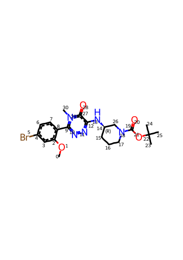 COc1cc(Br)ccc1-c1nnc(N[C@@H]2CCCN(C(=O)OC(C)(C)C)C2)c(=O)n1C